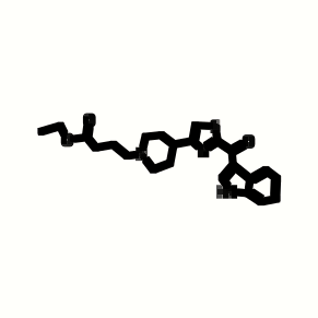 CCOC(=O)CCCN1CCC(c2csc(C(=O)c3c[nH]c4ccccc34)n2)CC1